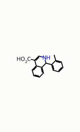 Cc1ccccc1C1NC=C(C(=O)O)c2ccccc21